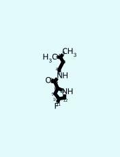 CC(C)CCNC(=O)C1CC(F)CN1